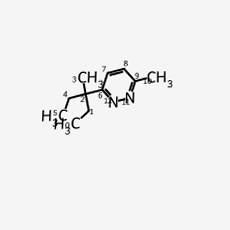 CCC(C)(CC)c1ccc(C)nn1